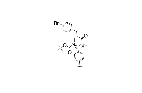 C[C@@H](C(=O)CCc1ccc(Br)cc1)[C@H](NC(=O)OC(C)(C)C)c1ccc(C(C)(C)C)cc1